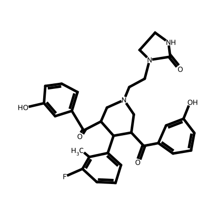 Cc1c(F)cccc1C1C(C(=O)c2cccc(O)c2)CN(CCN2CCNC2=O)CC1C(=O)c1cccc(O)c1